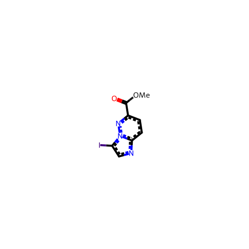 COC(=O)c1ccc2ncc(I)n2n1